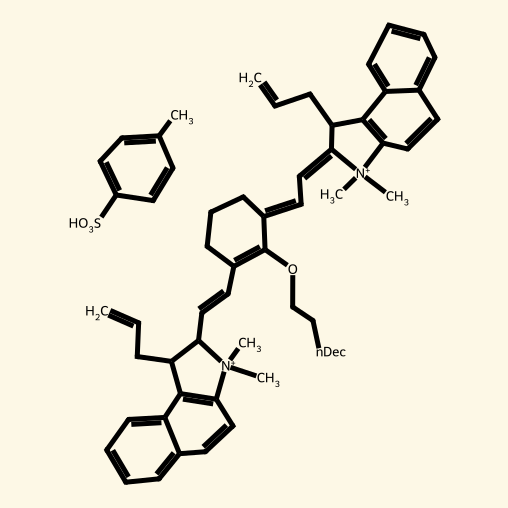 C=CCC1C(=CC=C2CCCC(C=CC3C(CC=C)c4c(ccc5ccccc45)[N+]3(C)C)=C2OCCCCCCCCCCCC)[N+](C)(C)c2ccc3ccccc3c21.Cc1ccc(S(=O)(=O)O)cc1